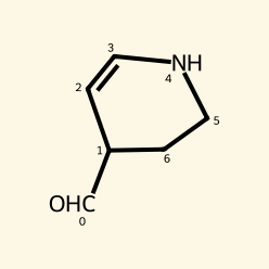 O=CC1C=CNCC1